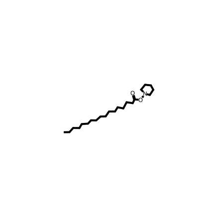 CCCCCCCCCCCCCCCCC(=O)ON1CCCCC1